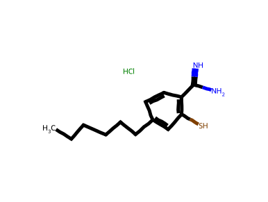 CCCCCCc1ccc(C(=N)N)c(S)c1.Cl